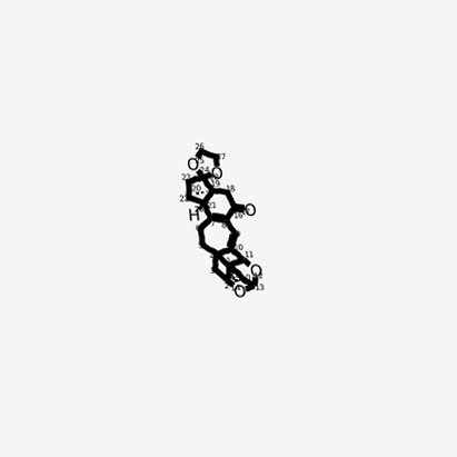 CC1C2CC34CCC5=C(C=C3C1OC(O2)O4)C(=O)C[C@@]1(C)[C@H]5CCC12OCCO2